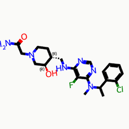 CC(c1ccccc1Cl)N(C)c1ncnc(NC[C@H]2CCN(CC(N)=O)C[C@@H]2O)c1F